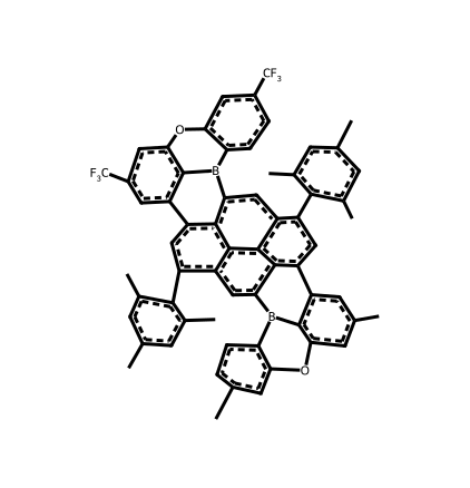 Cc1cc(C)c(-c2cc3c4c(cc5c(-c6c(C)cc(C)cc6C)cc6c7c(cc2c4c57)B2c4ccc(C(F)(F)F)cc4Oc4cc(C(F)(F)F)cc-6c42)B2c4ccc(C)cc4Oc4cc(C)cc-3c42)c(C)c1